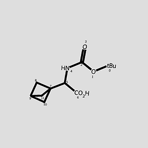 CC(C)(C)OC(=O)NC(C(=O)O)C12CC(C1)C2